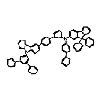 c1ccc(-c2ccc(N(c3cccc(-c4ccc(-c5ccc6c(c5)c5ccccc5n6-c5cc(-c6ccccc6)cc(-c6ccccc6)c5)cc4)c3)c3ccc4c(c3)C(c3ccccc3)(c3ccccc3)c3ccccc3-4)cc2)cc1